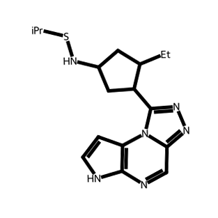 CCC1CC(NSC(C)C)CC1c1nnc2cnc3[nH]ccc3n12